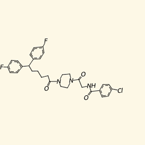 O=C(NCC(=O)N1CCN(C(=O)CCCCC(c2ccc(F)cc2)c2ccc(F)cc2)CC1)c1ccc(Cl)cc1